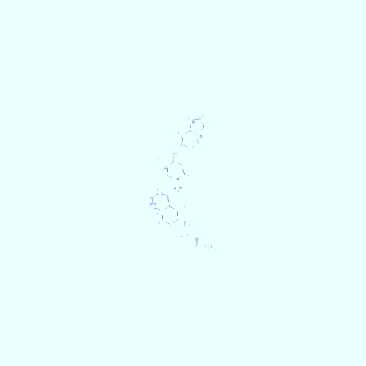 CO[C@H](C)C(=O)Nc1ccc2ncnc(Nc3ccc(Oc4ccn5ccnc5c4)c(C)c3)c2c1